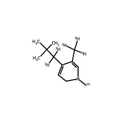 [2H]C([2H])([2H])C1=C[N]([Ir+2])CC=C1C([2H])([2H])C(C)(C)C